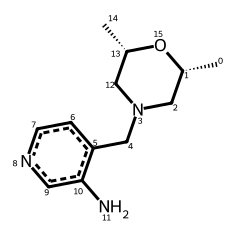 C[C@@H]1CN(Cc2ccncc2N)C[C@H](C)O1